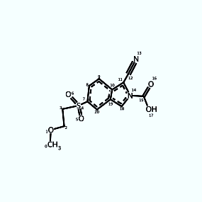 COCCS(=O)(=O)c1ccc2c(C#N)n(C(=O)O)cc2c1